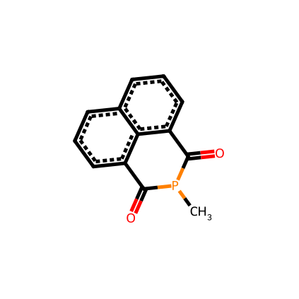 CP1C(=O)c2cccc3cccc(c23)C1=O